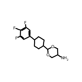 NC1COC(C2CCC(c3cc(F)c(F)c(F)c3)CC2)OC1